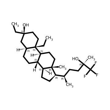 CC[C@]1(O)CC[C@@]2(CC)[C@@H](CC[C@H]3[C@@H]4CC[C@H]([C@H](C)CC[C@@](C)(O)C(F)(F)F)[C@@]4(C)CC[C@@H]32)C1